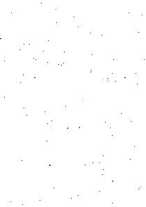 CCOC(CCCN)(OCC)[SiH](C)C